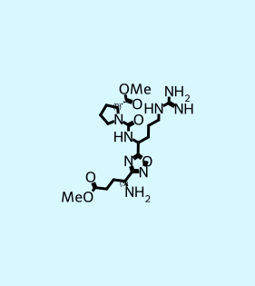 COC(=O)CC[C@H](N)c1noc(C(CCCNC(=N)N)NC(=O)N2CCC[C@@H]2C(=O)OC)n1